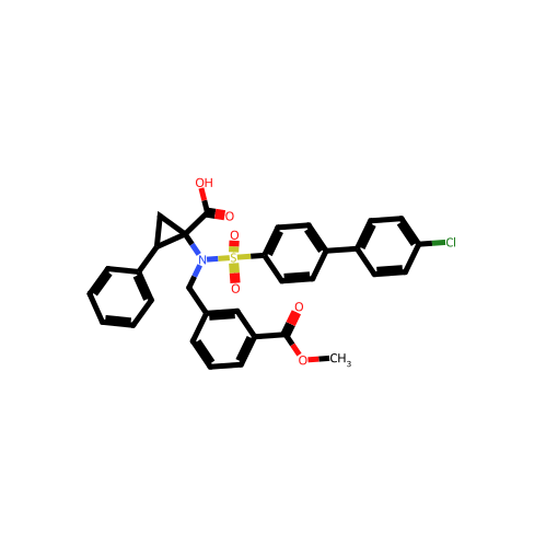 COC(=O)c1cccc(CN(C2(C(=O)O)CC2c2ccccc2)S(=O)(=O)c2ccc(-c3ccc(Cl)cc3)cc2)c1